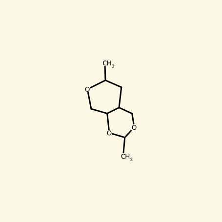 CC1CC2COC(C)OC2CO1